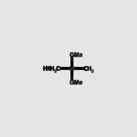 CO[Si](C)(C)OC.[KH]